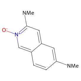 CNc1ccc2c[n+]([O-])c(NC)cc2c1